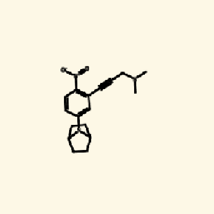 CN(C)CC#Cc1cc(N2C3CCC2CC3)ccc1[N+](=O)[O-]